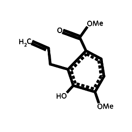 C=CCc1c(C(=O)OC)ccc(OC)c1O